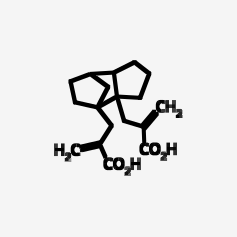 C=C(CC12CCC(C1)C1CCCC12CC(=C)C(=O)O)C(=O)O